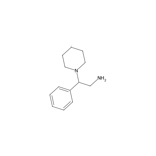 NCC(c1ccccc1)N1CC[CH]CC1